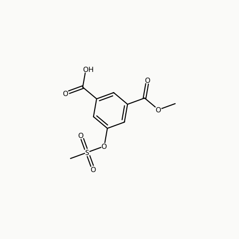 COC(=O)c1cc(OS(C)(=O)=O)cc(C(=O)O)c1